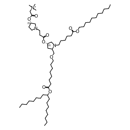 CCCCCCCCCCCOC(=O)CCCCCN1C[C@@H](OC(=O)CCN2CC[C@H](OC(=O)C[N+](C)(C)C)C2)CC1COCCCCCCCC(=O)OC(CCCCCCCC)CCCCCCCC